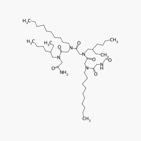 CCCCCCCCCCN(CC(=O)N(CC(=O)N(CCCCCCCCCC)CC(=O)N(CC(N)=O)CC(CC)CCCC)CC(CC)CCCC)C(=O)CNC=O